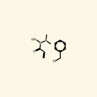 C=CC(=O)N(CCC)N(C)C.ClCc1ccccc1